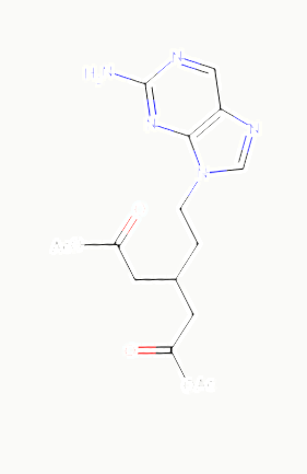 CC(=O)OC(=O)CC(CCn1cnc2cnc(N)nc21)CC(=O)OC(C)=O